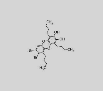 CCCCc1c(Br)c(Br)cc2c1Oc1c(CCCC)c(O)c(O)c(CCCC)c1O2